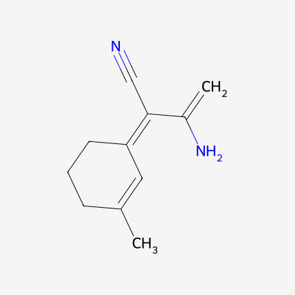 C=C(N)/C(C#N)=C1\C=C(C)CCC1